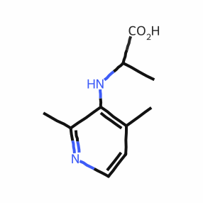 Cc1ccnc(C)c1NC(C)C(=O)O